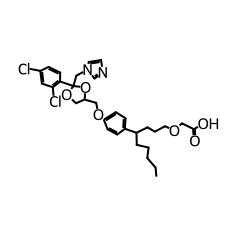 CCCCCC(CCCOCC(=O)O)c1ccc(OCC2COC(Cn3ccnc3)(c3ccc(Cl)cc3Cl)O2)cc1